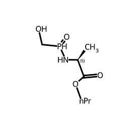 CCCOC(=O)[C@H](C)N[PH](=O)CO